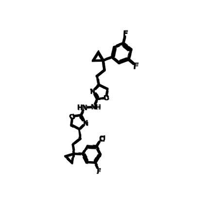 Fc1cc(F)cc(C2(CCC3COC(NNC4=N[C@@H](CCC5(c6cc(F)cc(Cl)c6)CC5)CO4)=N3)CC2)c1